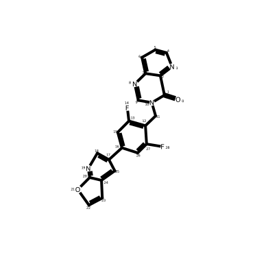 O=c1c2ncccc2ncn1Cc1c(F)cc(-c2cnc3occc3c2)cc1F